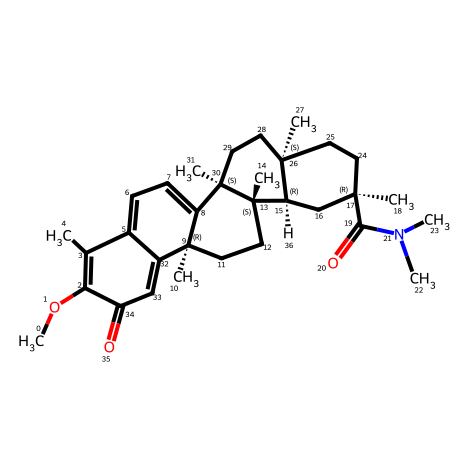 COC1=C(C)C2=CC=C3[C@@](C)(CC[C@@]4(C)[C@@H]5C[C@](C)(C(=O)N(C)C)CC[C@]5(C)CC[C@]34C)C2=CC1=O